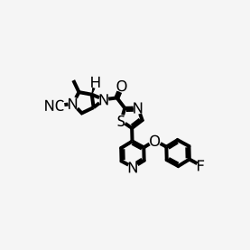 CC1[C@H]2C(CN1C#N)N2C(=O)c1ncc(-c2ccncc2Oc2ccc(F)cc2)s1